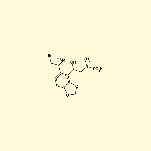 COC(CBr)c1ccc2c(c1C(O)CN(C)C(=O)O)OCO2